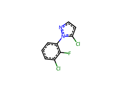 Fc1c(Cl)cccc1-n1nccc1Cl